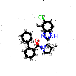 Cc1c(Cl)ccc2[nH]c([C@@H]3[C@@H](C)CCN3C(=O)c3ccccc3-c3ccccc3)nc12